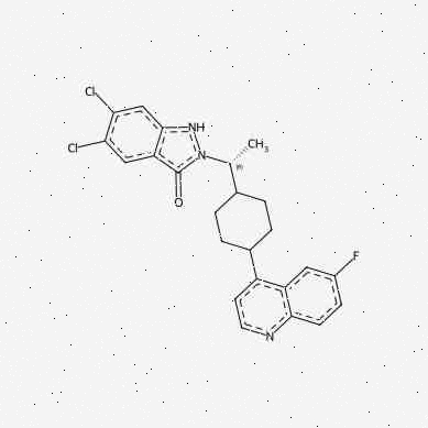 C[C@H](C1CCC(c2ccnc3ccc(F)cc23)CC1)n1[nH]c2cc(Cl)c(Cl)cc2c1=O